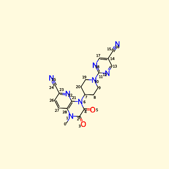 Cn1c(=O)c(=O)n(C2CCN(c3ncc(C#N)cn3)CC2)c2nc(C#N)ccc21